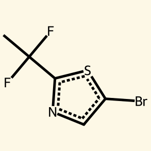 CC(F)(F)c1ncc(Br)s1